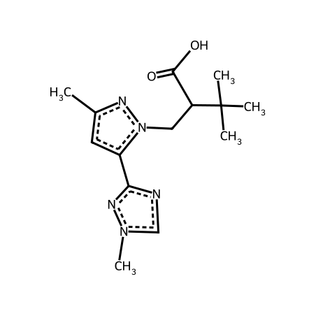 Cc1cc(-c2ncn(C)n2)n(CC(C(=O)O)C(C)(C)C)n1